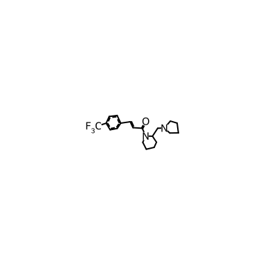 O=C(/C=C/c1ccc(C(F)(F)F)cc1)N1CCCCC1CN1CCCC1